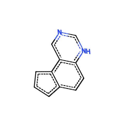 c1cc2ccc3[nH]cncc3c2c1